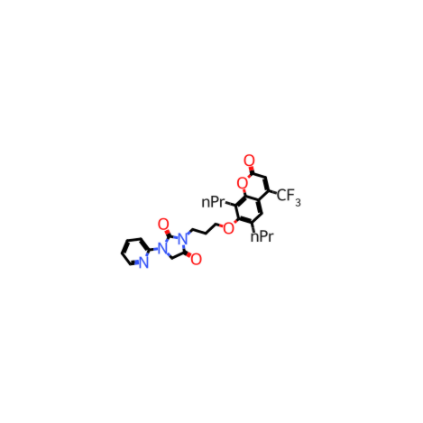 CCCc1cc2c(C(F)(F)F)cc(=O)oc2c(CCC)c1OCCCN1C(=O)CN(c2ccccn2)C1=O